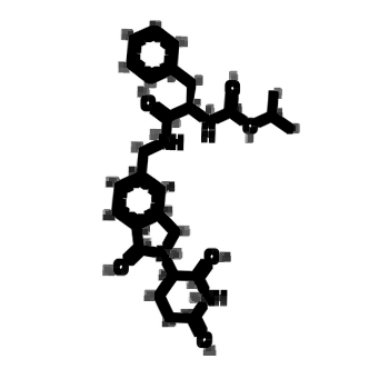 CC(C)OC(=O)N[C@H](Cc1ccccc1)C(=O)NCc1ccc2c(c1)CN(C1CCC(=O)NC1=O)C2=O